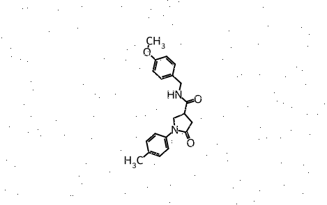 COc1ccc(CNC(=O)C2CC(=O)N(c3ccc(C)cc3)C2)cc1